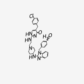 O.O=c1nc(NCCN2CCC(Nc3nc4ccccc4n3Cc3ccc(F)cc3)CC2)[nH]cc1Cc1ccc(Cl)cc1